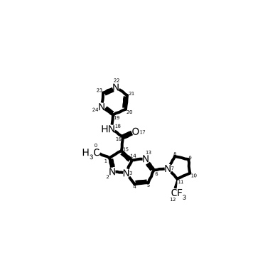 Cc1nn2ccc(N3CCC[C@H]3C(F)(F)F)nc2c1C(=O)Nc1ccncn1